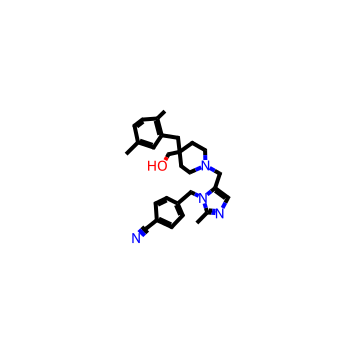 Cc1ccc(C)c(CC2(CO)CCN(Cc3cnc(C)n3Cc3ccc(C#N)cc3)CC2)c1